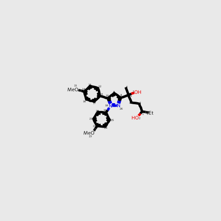 CCC(O)CCC(C)(O)c1cc(-c2ccc(OC)cc2)n(-c2ccc(OC)cc2)n1